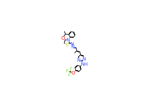 CC(/C=N/N=C1\SCC(=O)N1c1ccccc1C(C)C)=C\c1cnc(Nc2ccc(OC(F)(F)F)cc2)nc1